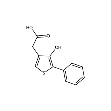 O=C(O)Cc1csc(-c2ccccc2)c1O